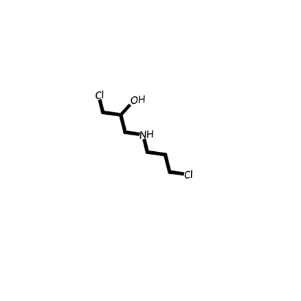 OC(CCl)CNCCCCl